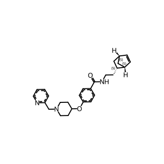 O=C(NCC[C@@H]1C[C@@H]2C=C[C@H]1C2)c1ccc(OC2CCN(Cc3ccccn3)CC2)cc1